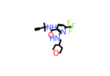 C#CC(C)(C)NC(=O)c1ccc(C(F)(F)F)nc1NCC1CCOCC1